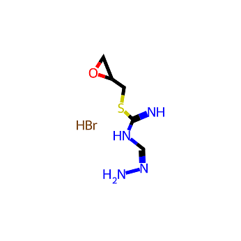 Br.N=C(N/C=N\N)SCC1CO1